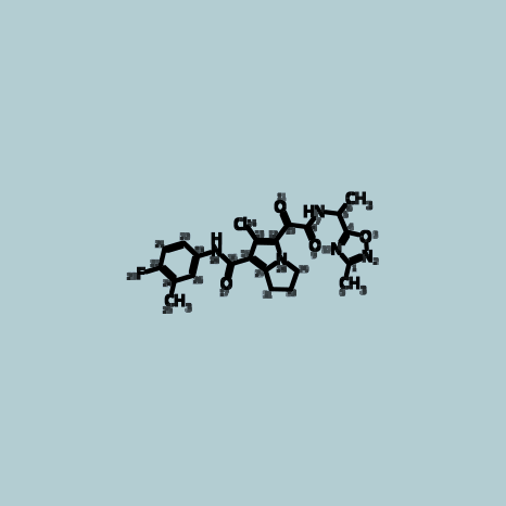 Cc1noc(C(C)NC(=O)C(=O)c2c(Cl)c(C(=O)Nc3ccc(F)c(C)c3)c3n2CCC3)n1